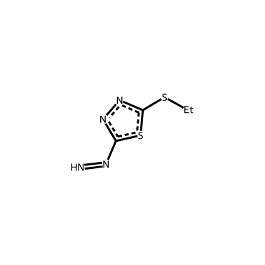 CCSc1nnc(N=N)s1